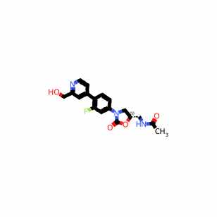 CC(=O)NC[C@H]1CN(c2ccc(-c3ccnc(CO)c3)c(F)c2)C(=O)O1